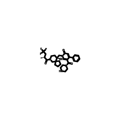 C[C@H](CC(F)(F)F)C(=O)N1CC[C@@](O)(Cn2cc(C(=O)N3CCNCC3)c(-c3ccccc3)cc2=O)C2(CCCC2)C1